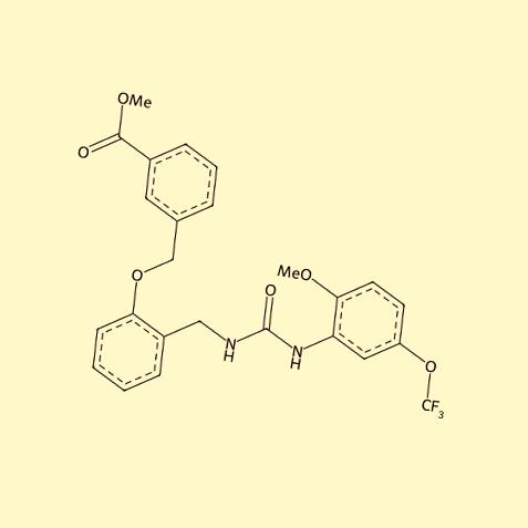 COC(=O)c1cccc(COc2ccccc2CNC(=O)Nc2cc(OC(F)(F)F)ccc2OC)c1